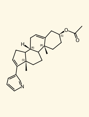 CC(=O)O[C@H]1CC[C@@]2(C)C(=CC[C@@H]3C2CC[C@]2(C)C(c4cccnc4)=CCC32)C1